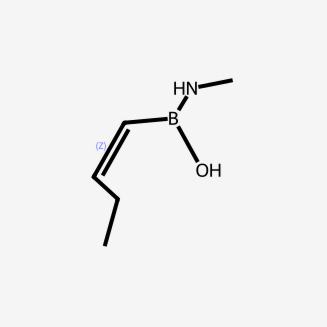 CC/C=C\B(O)NC